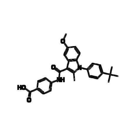 COc1ccc2c(c1)c(C(=O)Nc1ccc(C(=O)O)cc1)c(C)n2-c1ccc(C(C)(C)C)cc1